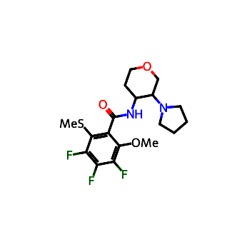 COc1c(F)c(F)c(F)c(SC)c1C(=O)NC1CCOCC1N1CCCC1